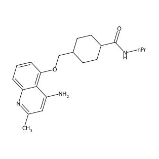 CCCNC(=O)C1CCC(COc2cccc3nc(C)cc(N)c23)CC1